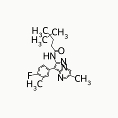 Cc1cnc2c(-c3ccc(F)c(C)c3)c(NC(=O)CCC(C)(C)C)nn2c1